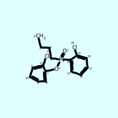 CCCCP(=O)(Oc1ccccc1Cl)c1ccccc1Cl